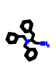 NCC(Cc1ccccc1)N(Cc1ccccc1)Cc1ccccc1